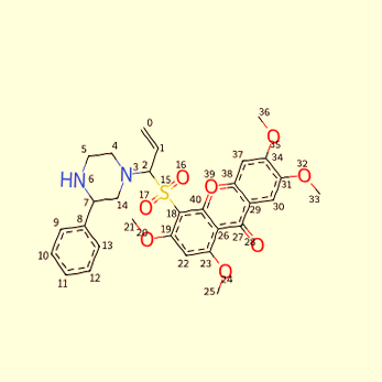 C=CC(N1CCNC(c2ccccc2)C1)S(=O)(=O)c1c(OC)cc(OC)c2c(=O)c3cc(OC)c(OC)cc3oc12